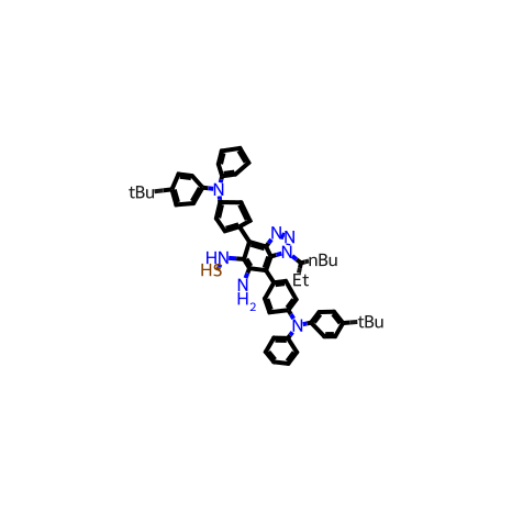 CCCCC(CC)n1nnc2c(-c3ccc(N(c4ccccc4)c4ccc(C(C)(C)C)cc4)cc3)c(NS)c(N)c(-c3ccc(N(c4ccccc4)c4ccc(C(C)(C)C)cc4)cc3)c21